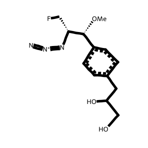 CO[C@H](c1ccc(CC(O)CO)cc1)[C@@H](CF)N=[N+]=[N-]